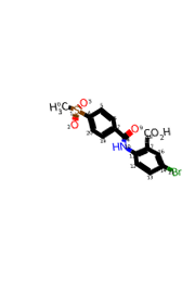 CS(=O)(=O)c1ccc(C(=O)Nc2ccc(Br)cc2C(=O)O)cc1